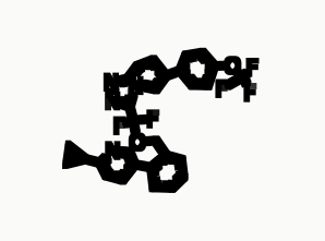 FC(F)(F)Oc1ccc(-c2ccc3nnc(C(F)(F)OCc4ccccc4-c4ccc(C5CC5)nc4)n3c2)cc1